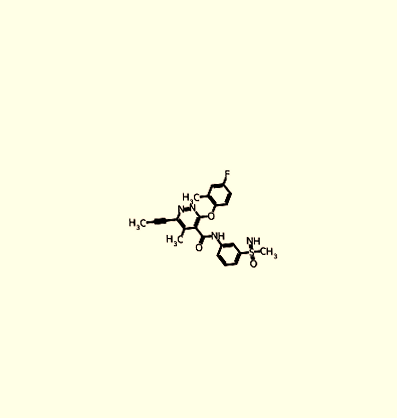 CC#Cc1nnc(Oc2ccc(F)cc2C)c(C(=O)Nc2cccc(S(C)(=N)=O)c2)c1C